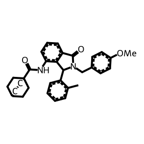 COc1ccc(CN2C(=O)c3cccc(NC(=O)C45CCC(CC4)CC5)c3C2c2ccccc2C)cc1